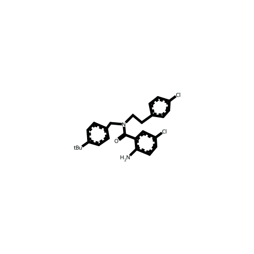 CC(C)(C)c1ccc(CN(CCc2ccc(Cl)cc2)C(=O)c2cc(Cl)ccc2N)cc1